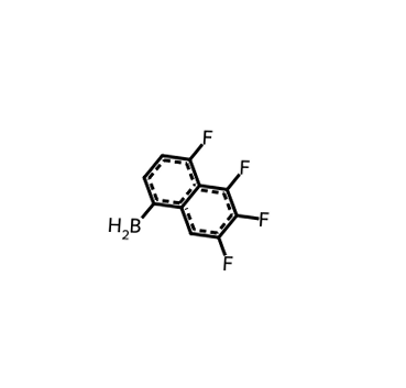 Bc1ccc(F)c2c(F)c(F)c(F)cc12